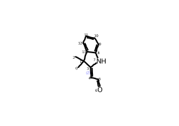 CC1(C)/C(=C/C=O)Nc2ccccc21